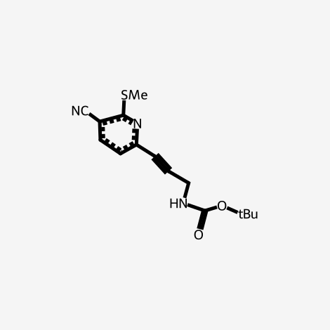 CSc1nc(C#CCNC(=O)OC(C)(C)C)ccc1C#N